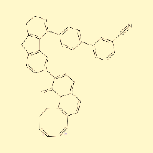 C=C1C(c2ccc3c(c2)C2=C(CCC=C2c2ccc(-c4cccc(C#N)c4)cc2)C3)=CC=C2C=CC3=C(CC/C=C\C=C/3)C12